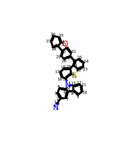 N#Cc1ccc2c(c1)c1ccccc1n2-c1cccc2c1sc1cccc(-c3ccc4c(c3)oc3ccccc34)c12